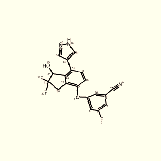 N#Cc1cc(F)cc(Oc2ccc(-c3cn[nH]c3)c3c2CC(F)(F)C3O)c1